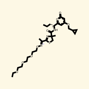 CCC[C@@H](NC(=O)C1(C)CSC(/C(C)=N/OCCOCCOCCOCC)=N1)c1cc(OCC2CC2)cc(=O)o1